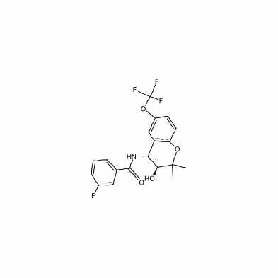 CC1(C)Oc2ccc(OC(F)(F)F)cc2[C@@H](NC(=O)c2cccc(F)c2)[C@@H]1O